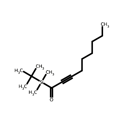 CCCCCCC#CC(=O)[Si](C)(C)C(C)(C)C